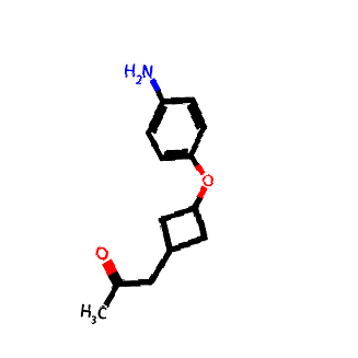 CC(=O)CC1CC(Oc2ccc(N)cc2)C1